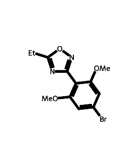 CCc1nc(-c2c(OC)cc(Br)cc2OC)no1